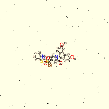 COc1ccc(C2=C(c3ccc(OC)cc3)N3C=CC(=C(Br)S(=O)(=O)c4nc5ccccc5s4)C=C3C2=O)cc1